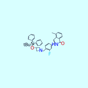 Cc1cccc2c(=O)[nH]c(-c3ccc(CN4CC(O[Si](c5ccccc5)(c5ccccc5)C(C)(C)C)C4)c(F)c3)cc12